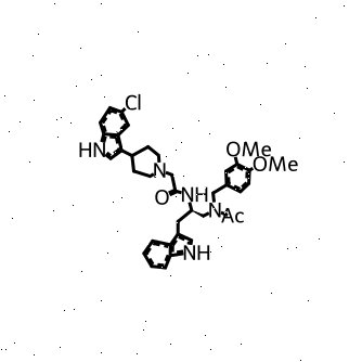 COc1ccc(CN(C[C@@H](Cc2c[nH]c3ccccc23)NC(=O)CN2CCC(c3c[nH]c4ccc(Cl)cc34)CC2)C(C)=O)cc1OC